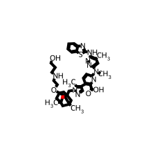 Cc1cc(N(C)c2ccc(-c3cnn(CC45CC6(C)CC(C)(C4)CC(OCCNCCCO)(C6)C5)c3C)c(C(=O)O)n2)nnc1Nc1nc2ccccc2s1